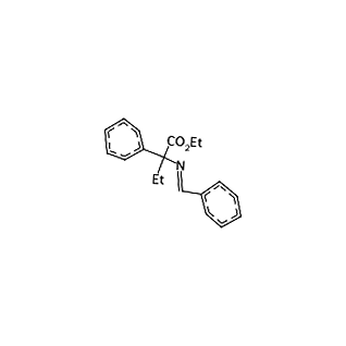 CCOC(=O)C(CC)(N=Cc1ccccc1)c1ccccc1